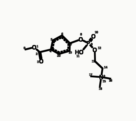 COC(=O)c1ccc(OP(=O)(O)OCC[N+](C)(C)C)cc1